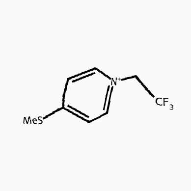 CSc1cc[n+](CC(F)(F)F)cc1